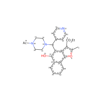 CCOC(=O)c1c(C)oc2c1c(C(c1ccncc1)N1CCN(C(C)=O)CC1)c(O)c1ccccc12